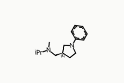 CC(C)N(C)C[C@@H]1CCN(c2ccccc2)C1